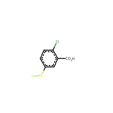 O=C(O)c1cc(SF)ccc1Cl